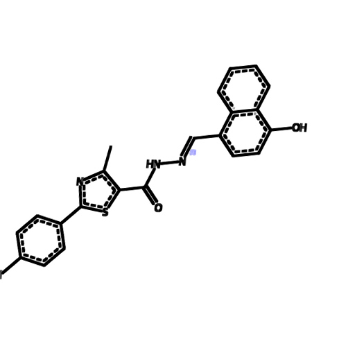 Cc1nc(-c2ccc(Cl)cc2)sc1C(=O)N/N=C/c1ccc(O)c2ccccc12